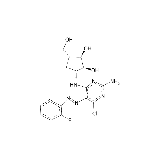 Nc1nc(Cl)c(/N=N/c2ccccc2F)c(N[C@@H]2C[C@H](CO)[C@@H](O)[C@H]2O)n1